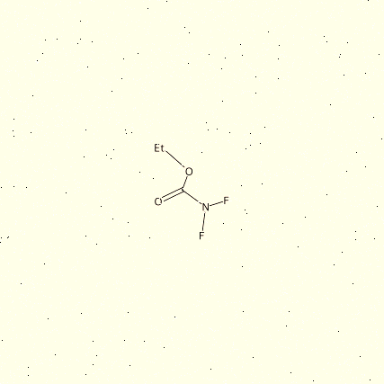 CCOC(=O)N(F)F